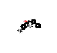 Cc1ccc(C(=O)CCC2=CC=C(c3ccccc3)C2C)cc1